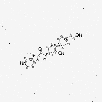 N#Cc1cc(NC(=O)c2cc3c(s2)CNCC3)ccc1N1CCN(CCO)CC1